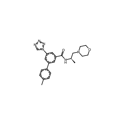 Cc1ccc(-c2cc(C(=O)N[C@H](C)CN3CCOCC3)cc(-n3cnnn3)c2)cc1